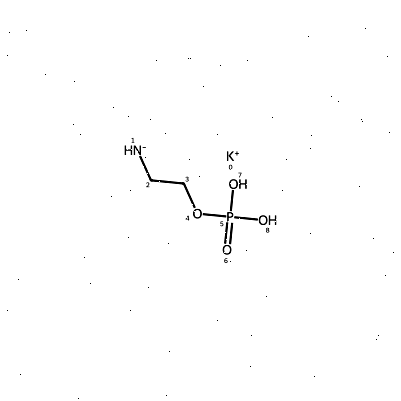 [K+].[NH-]CCOP(=O)(O)O